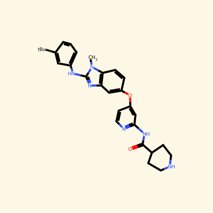 Cn1c(Nc2cccc(C(C)(C)C)c2)nc2cc(Oc3ccnc(NC(=O)C4CCNCC4)c3)ccc21